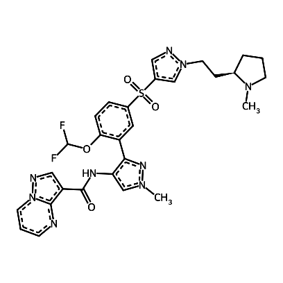 CN1CCC[C@@H]1CCn1cc(S(=O)(=O)c2ccc(OC(F)F)c(-c3nn(C)cc3NC(=O)c3cnn4cccnc34)c2)cn1